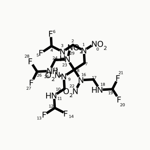 O=[N+]([O-])N(CNC(F)F)CC(N(CNC(F)F)[N+](=O)[O-])(N(CNC(F)F)[N+](=O)[O-])N(CNC(F)F)[N+](=O)[O-]